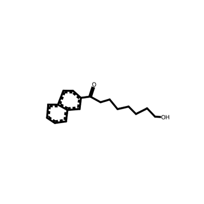 O=C(CCCCCCCO)c1ccc2ccccc2c1